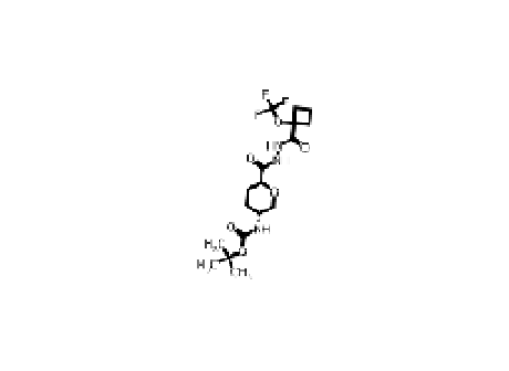 CC(C)(C)OC(=O)N[C@@H]1CC[C@@H](C(=O)NNC(=O)C2(OC(F)(F)F)CCC2)OC1